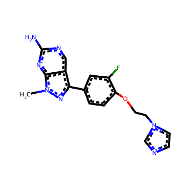 Cn1nc(-c2ccc(OCCn3ccnc3)c(F)c2)c2cnc(N)nc21